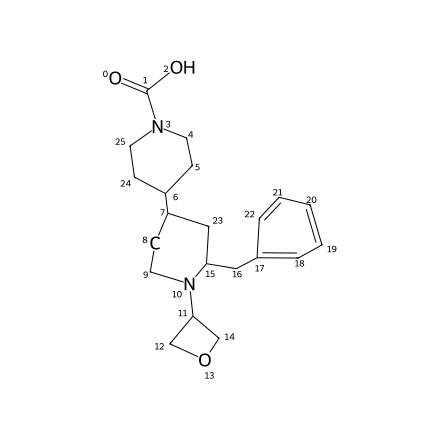 O=C(O)N1CCC(C2CCN(C3COC3)C(Cc3ccccc3)C2)CC1